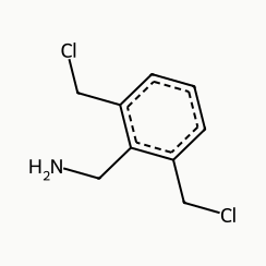 NCc1c(CCl)cccc1CCl